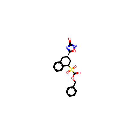 O=C(OCc1ccccc1)S(=O)(=O)C1C[C@H](c2nc(=O)[nH]o2)Cc2ccccc21